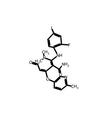 Cc1ccc(OC(=C/C=O)/C(C(N)=O)=C(/Nc2ccc(I)cc2F)N(C)C)cn1